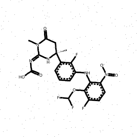 CN1C(=O)C[C@@](C)(c2cccc(Nc3c([N+](=O)[O-])ccc(F)c3OC(F)F)c2F)N/C1=N\C(=O)O